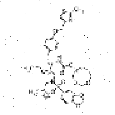 CCO[C@H](CN(CC(C)C)S(=O)(=O)c1ccc2c(c1)OCO2)[C@H](Cc1ccc(OCc2csc(C)n2)cc1)NC(=O)O[C@@H]1CCCOCOC1